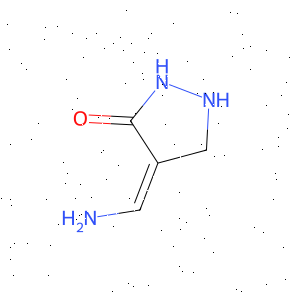 NC=C1CNNC1=O